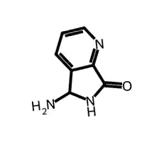 NC1NC(=O)c2ncccc21